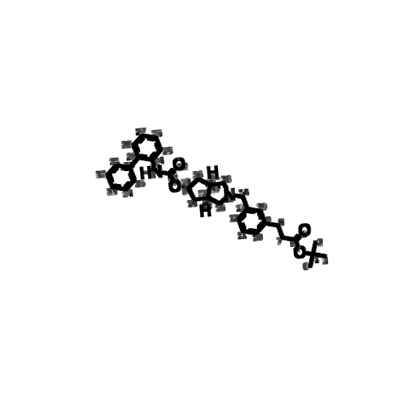 CC(C)(C)OC(=O)CCc1cccc(CN2C[C@H]3C[C@H](OC(=O)Nc4ccccc4-c4ccccc4)C[C@H]3C2)c1